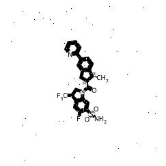 C[C@H]1c2ccc(-c3ccccn3)cc2C[C@@H]1C(=O)N1CC(C(F)(F)F)c2cc(F)c(S(N)(=O)=O)cc21